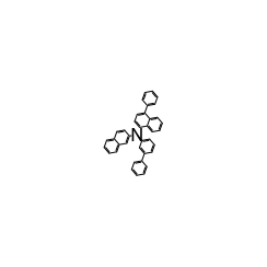 c1ccc(-c2cccc(N(c3ccc4ccccc4c3)c3ccc(-c4ccccc4)c4ccccc34)c2)cc1